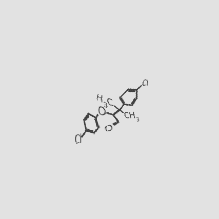 CC(C)(c1ccc(Cl)cc1)C(C=O)Oc1ccc(Cl)cc1